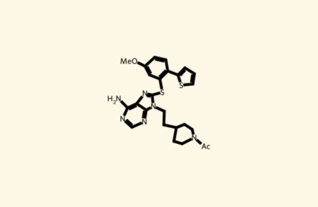 COc1ccc(-c2cccs2)c(Sc2nc3c(N)ncnc3n2CCC2CCN(C(C)=O)CC2)c1